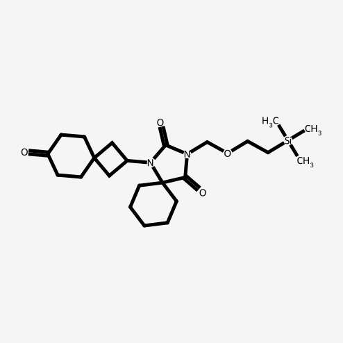 C[Si](C)(C)CCOCN1C(=O)N(C2CC3(CCC(=O)CC3)C2)C2(CCCCC2)C1=O